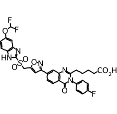 O=C(O)CCCCc1nc2cc(-c3cc(CS(=O)(=O)c4nc5cc(OC(F)F)ccc5[nH]4)on3)ccc2c(=O)n1-c1ccc(F)cc1